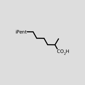 CCCC(C)CCCCC(C)C(=O)O